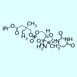 CC(C)OC(=O)CC(C)(C)CO[P@]1(=O)OC[C@H]2O[C@@H](n3ccc(=O)[nH]c3=O)[C@](C)(N)[C@@H]2O1